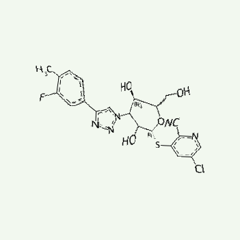 Cc1ccc(-c2cn(C3C(O)[C@@H](Sc4cc(Cl)cnc4C#N)OC(CO)[C@@H]3O)nn2)cc1F